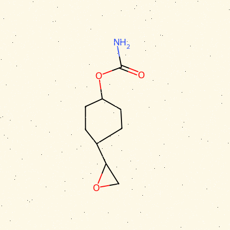 NC(=O)OC1CCC(C2CO2)CC1